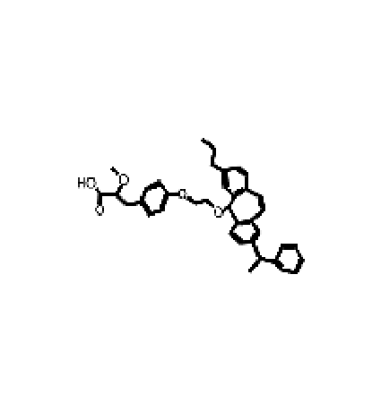 CCCc1ccc2c(c1)C(OCCOc1ccc(CC(OC)C(=O)O)cc1)c1ccc(C(C)c3ccccc3)cc1C=C2